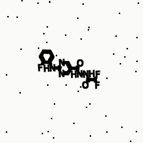 O=C(NNC(=O)C(F)F)c1cnc(Nc2ccccc2F)nc1